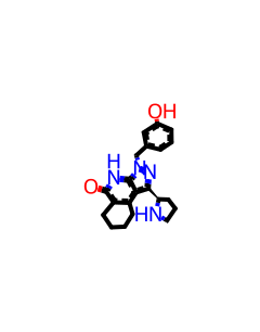 O=c1[nH]c2c(c([C@H]3CCCN3)nn2Cc2cccc(O)c2)c2c1CCCC2